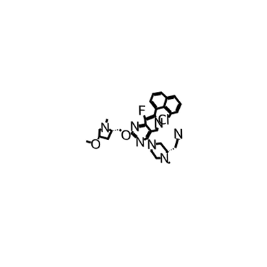 CO[C@@H]1C[C@@H](COc2nc(N3CCN(C)[C@@H](CC#N)C3)c3cnc(-c4cccc5cccc(Cl)c45)c(F)c3n2)N(C)C1